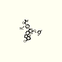 C=C(F)C(=O)N1CCN(c2nc(OC[C@@H]3C[C@@H](C)CN3C)nc3c2CC[C@@]2(CCc4c(Cl)cccc42)[C@H]3F)C[C@@H]1CC#N